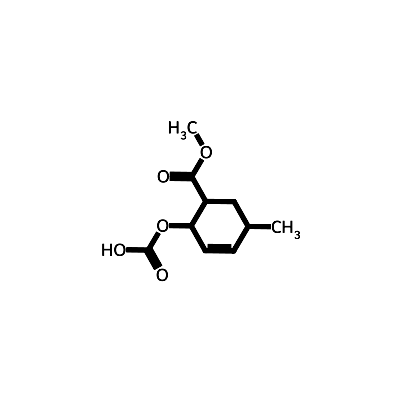 COC(=O)C1CC(C)C=CC1OC(=O)O